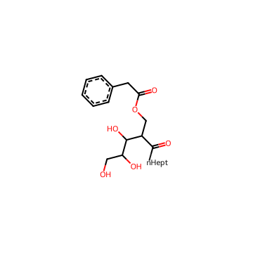 CCCCCCCC(=O)C(COC(=O)Cc1ccccc1)C(O)C(O)CO